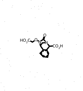 O=C(O)CON1C(=O)N2CC1c1ccccc1C2C(=O)O